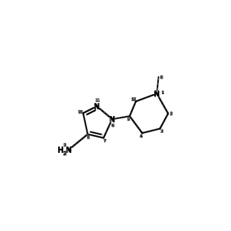 CN1CCCC(n2cc(N)cn2)C1